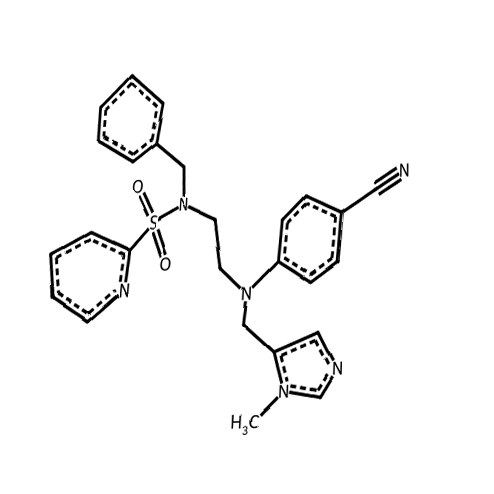 Cn1cncc1CN(CCN(Cc1ccccc1)S(=O)(=O)c1ccccn1)c1ccc(C#N)cc1